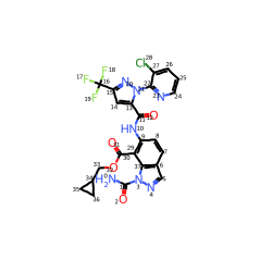 NC(=O)n1ncc2ccc(NC(=O)c3cc(C(F)(F)F)nn3-c3ncccc3Cl)c(C(=O)OCC3CC3)c21